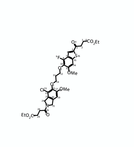 CCOC(=O)CCC(=O)c1cc2c(F)c(OCCCOc3c(OC)cc4c(c3Cl)CN(C(=O)CCC(=O)OCC)C4)c(OC)cc2s1